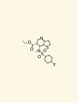 CCOC(=O)c1cnc2ccsc2c1N(C)S(=O)(=O)c1ccc(F)cc1